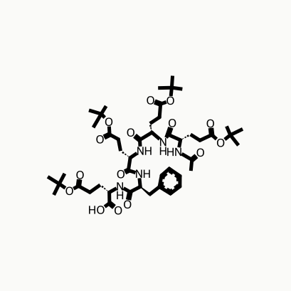 CC(=O)N[C@@H](CCC(=O)OC(C)(C)C)C(=O)N[C@@H](CCC(=O)OC(C)(C)C)C(=O)N[C@@H](CCC(=O)OC(C)(C)C)C(=O)N[C@@H](Cc1ccccc1)C(=O)N[C@@H](CCC(=O)OC(C)(C)C)C(=O)O